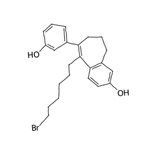 Oc1cccc(C2=C(CCCCCCBr)c3ccc(O)cc3CCC2)c1